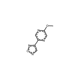 COc1cnc(-c2cnon2)cn1